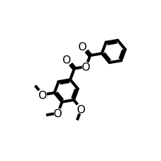 COc1cc(C(=O)OC(=O)c2ccccc2)cc(OC)c1OC